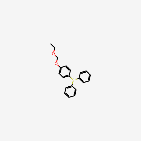 CCOCOc1ccc([S+](c2ccccc2)c2ccccc2)cc1